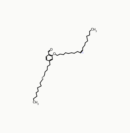 CCCCCCCC/C=C\CCCCCCCCOc1cc(CCCCCCCCCCCCCCC)ccc1C=O